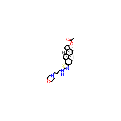 CC(=O)O[C@H]1CC[C@H]2[C@@H]3CC=C4c5sc(NCCCN6CCOCC6)nc5CC[C@]4(C)[C@H]3CC[C@]12C